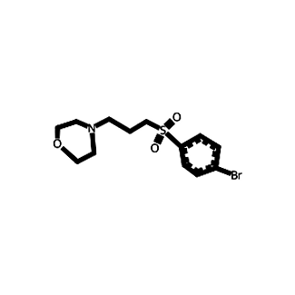 O=S(=O)(CCCN1CCOCC1)c1ccc(Br)cc1